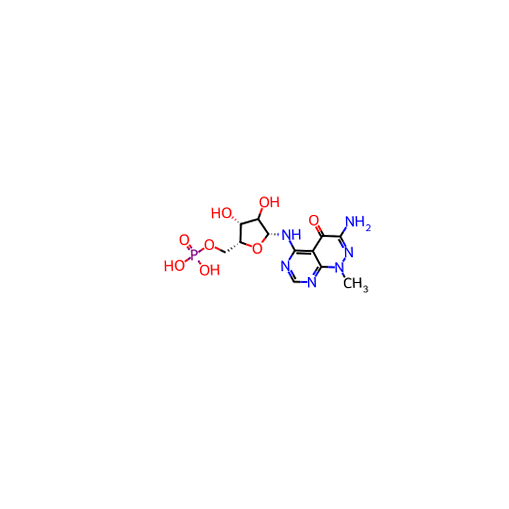 Cn1nc(N)c(=O)c2c(N[C@@H]3O[C@H](COP(=O)(O)O)[C@H](O)C3O)ncnc21